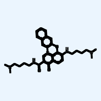 CN(C)CCCCNC(=O)c1cn2c3c(c(NCCCCN(C)C)ccc3c1=O)Oc1cc3ccccc3cc1-2